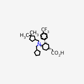 CC1(C)CCC(CN(CC2CCCC2)[C@@H]2CC[C@@H](CC(=O)O)C[C@H]2c2ccc(C(F)(F)F)cc2)C1